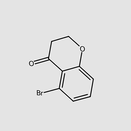 O=C1CCOc2cccc(Br)c21